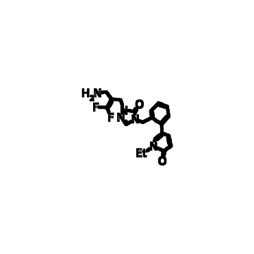 CCn1cc(-c2ccccc2Cn2cnn(CC(CN)=C(F)F)c2=O)ccc1=O